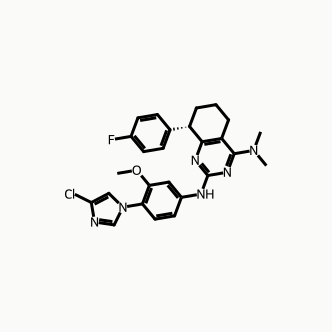 COc1cc(Nc2nc3c(c(N(C)C)n2)CCC[C@H]3c2ccc(F)cc2)ccc1-n1cnc(Cl)c1